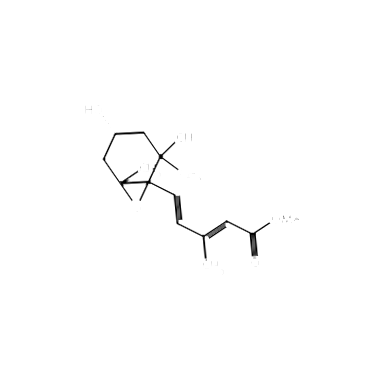 COC(=O)C=C(C)C=CC12OC1(C)C[C@H](O)CC2(C)C